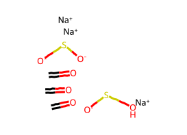 C=O.C=O.C=O.[Na+].[Na+].[Na+].[O-]SO.[O-]S[O-]